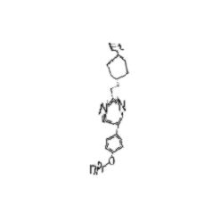 CCCOc1ccc(-c2cnc(CC[C@H]3CC[C@H](CC)CC3)nc2)cc1